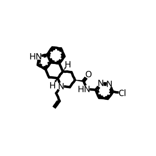 C=CCN1C[C@H](C(=O)Nc2ccc(Cl)nn2)C[C@@H]2c3cccc4[nH]cc(c34)C[C@H]21